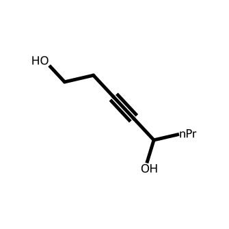 CCCC(O)C#CCCO